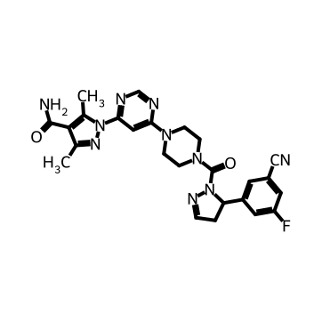 Cc1nn(-c2cc(N3CCN(C(=O)N4N=CCC4c4cc(F)cc(C#N)c4)CC3)ncn2)c(C)c1C(N)=O